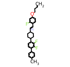 C=CCCOc1ccc(/C=C/C2CCC(c3ccc(-c4ccc(C)cc4)c(F)c3F)CC2)c(F)c1